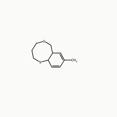 CC1=CC2CSCCCSC2C=C1